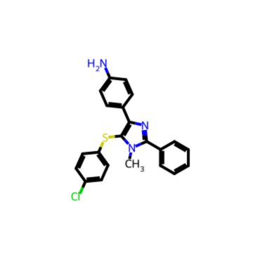 Cn1c(-c2ccccc2)nc(-c2ccc(N)cc2)c1Sc1ccc(Cl)cc1